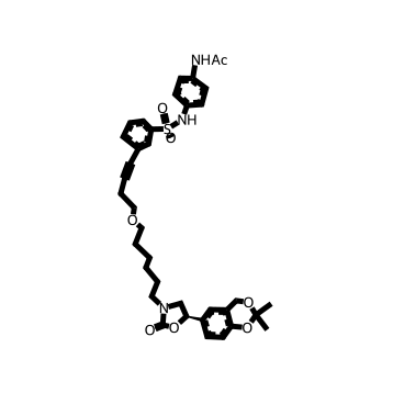 CC(=O)Nc1ccc(NS(=O)(=O)c2cccc(C#CCCOCCCCCCN3C[C@@H](c4ccc5c(c4)COC(C)(C)O5)OC3=O)c2)cc1